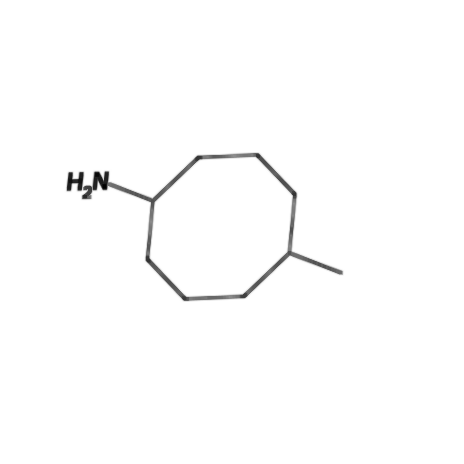 CC1CCCC(N)CCC1